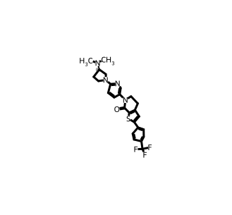 CN(C)[C@@H]1CCN(c2ccc(N3CCc4cc(-c5ccc(C(F)(F)F)cc5)sc4C3=O)cn2)C1